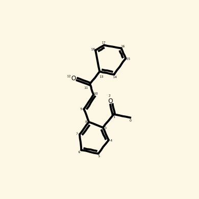 CC(=O)c1ccccc1/C=C/C(=O)c1ccccc1